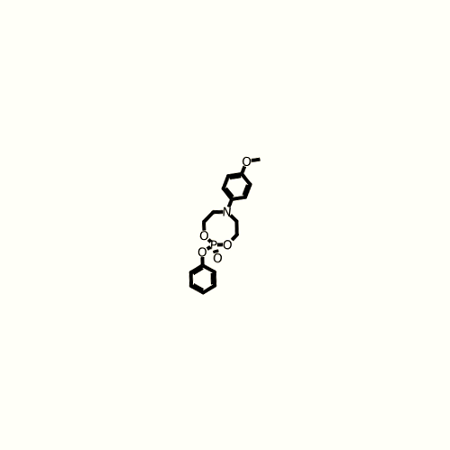 COc1ccc(N2CCOP(=O)(Oc3ccccc3)OCC2)cc1